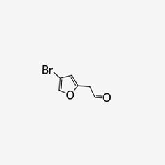 O=CCc1cc(Br)co1